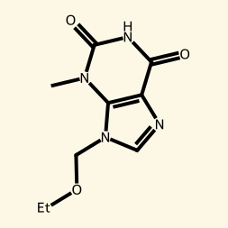 CCOCn1cnc2c(=O)[nH]c(=O)n(C)c21